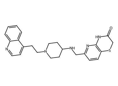 O=C1CSc2ccc(CNC3CCN(CCc4ccnc5ccccc45)CC3)nc2N1